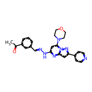 CC(=O)c1cccc(C=NNc2cc(N3CCOCC3)n3nc(-c4ccncc4)cc3n2)c1